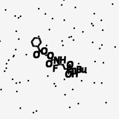 CCCCP(=O)(O)CCC(F)NC(=O)OCOC(=O)C1CCCCC1